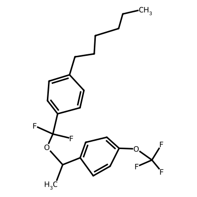 CCCCCCc1ccc(C(F)(F)OC(C)c2ccc(OC(F)(F)F)cc2)cc1